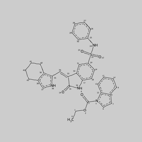 CCOC(=O)n1ccc2ccccc21.O=C1Nc2ccc(S(=O)(=O)Nc3ccccc3)cc2C1=Cc1[nH]cc2c1CCCC2